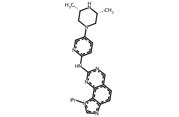 CC(C)n1cnc2ccc3cnc(Nc4ccc(N5C[C@@H](C)N[C@@H](C)C5)cn4)nc3c21